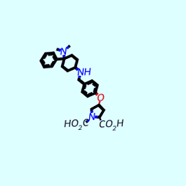 CN(C)C1(c2ccccc2)CCC(NCc2ccc(O[C@H]3C[C@@H](C(=O)O)N(C(=O)O)C3)cc2)CC1